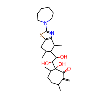 C=C1C(=O)C(O)(C(O)C(O)C2C(C)Cc3sc(N4CCCCCC4)nc3C2C)C(C)CCC1C